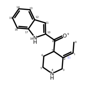 C/C=C1/CNCCC1C(=O)c1cc2ccccc2[nH]1